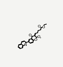 CCOC(=O)CCCC=C1C(=O)c2cc(-c3ccc4ccccc4n3)ccc2OC1OC